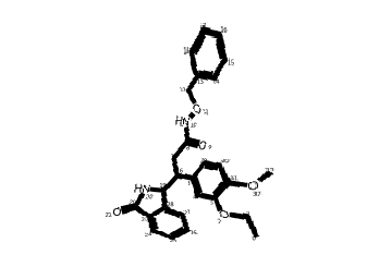 CCOc1cc(C(CC(=O)NOCc2ccccc2)C2NC(=O)c3ccccc32)ccc1OC